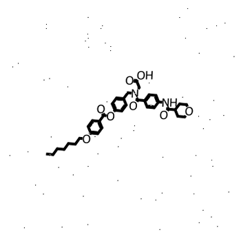 CCCCCCCOc1ccc(C(=O)Oc2ccc(CN(CC(=O)O)C(=O)c3ccc(NC(=O)C4CCOCC4)cc3)cc2)cc1